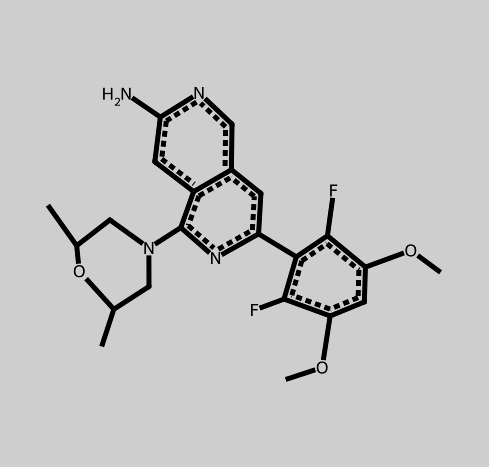 COc1cc(OC)c(F)c(-c2cc3cnc(N)cc3c(N3CC(C)OC(C)C3)n2)c1F